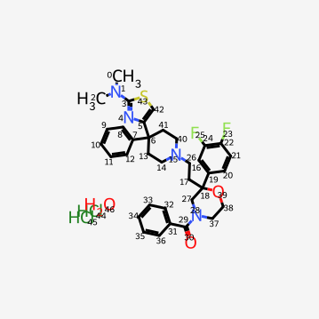 CN(C)c1nc(C2(c3ccccc3)CCN(CCC3(c4ccc(F)c(F)c4)CN(C(=O)c4ccccc4)CCO3)CC2)cs1.Cl.Cl.O